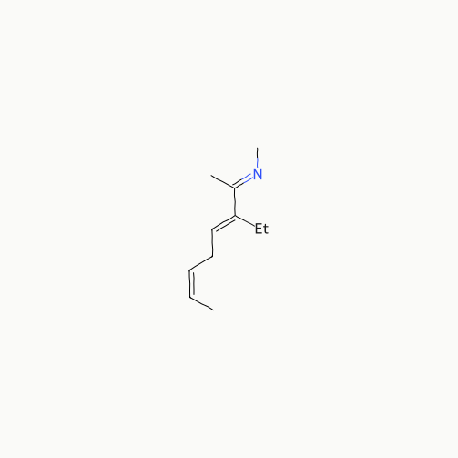 C/C=C\C/C=C(CC)/C(C)=N/C